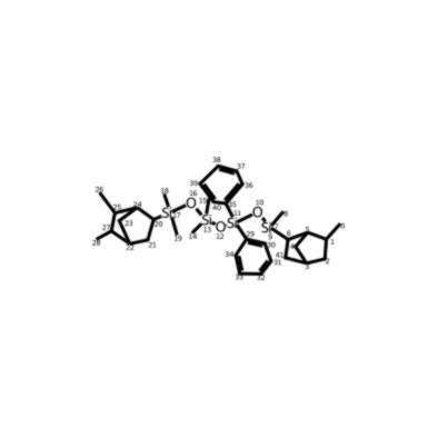 CC1CC2CC1C([Si](C)(C)O[Si](O[Si](C)(C)O[Si](C)(C)C1CC3CC1C(C)C3C)(c1ccccc1)c1ccccc1)C2